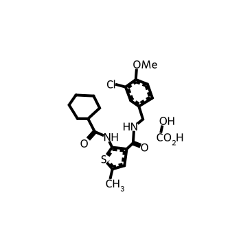 COc1ccc(CNC(=O)c2cc(C)sc2NC(=O)C2CCCCC2)cc1Cl.O=C(O)O